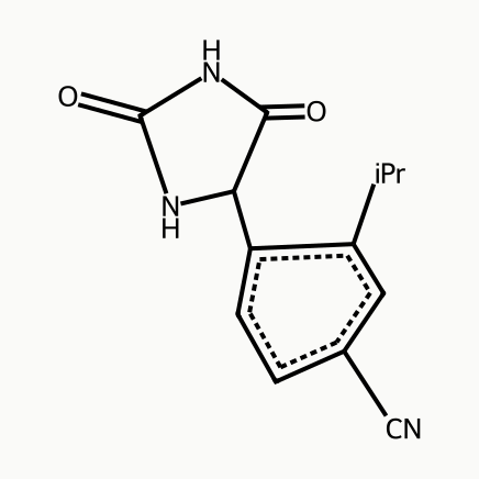 CC(C)c1cc(C#N)ccc1C1NC(=O)NC1=O